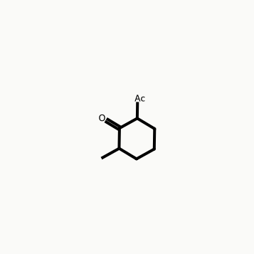 CC(=O)C1CCCC(C)C1=O